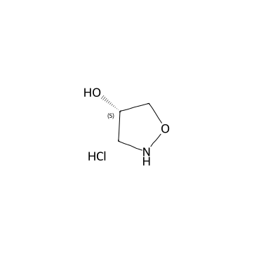 Cl.O[C@H]1CNOC1